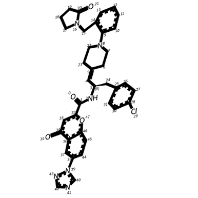 O=C(N[C@@H](C=C1CCN(c2ccccc2CN2CCCC2=O)CC1)Cc1ccc(Cl)cc1)c1cc(=O)c2cc(-n3cncn3)ccc2o1